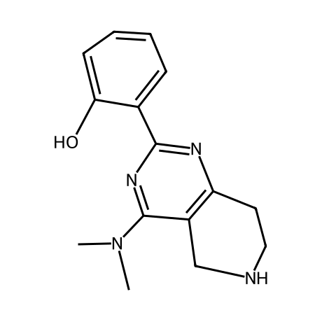 CN(C)c1nc(-c2ccccc2O)nc2c1CNCC2